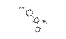 COc1ccc(-c2cc(N)n(-c3nccs3)n2)cc1